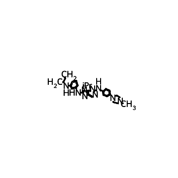 C=CC(=C)Nc1cccc(Nc2nc3cnc(Nc4ccc(N5CCN(C)CC5)cc4)nc3n2C(C)C)c1